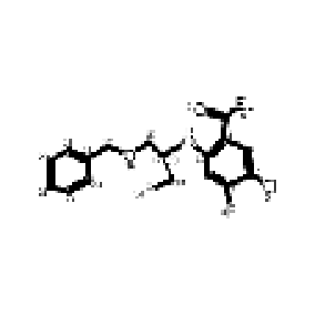 CCC(=O)c1cc(Cl)c(F)cc1O[C@@H](CF)COCc1ccccc1